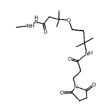 CNNC(=O)CC(C)(C)OCCC(C)(C)NC(=O)CCN1C(=O)CCC1=O